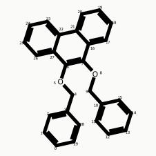 c1ccc(COc2c(OCc3ccccc3)c3ccccc3c3ccccc23)cc1